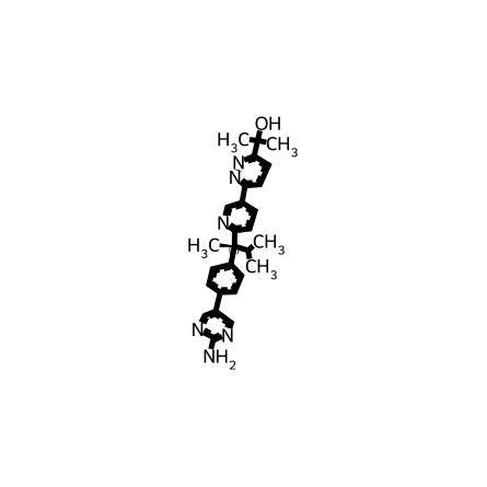 CC(C)[C@](C)(c1ccc(-c2cnc(N)nc2)cc1)c1ccc(-c2ccc(C(C)(C)O)nn2)cn1